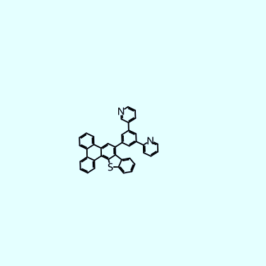 c1ccc(-c2cc(-c3cccnc3)cc(-c3cc4c5ccccc5c5ccccc5c4c4sc5ccccc5c34)c2)nc1